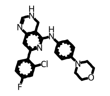 Fc1ccc(-c2cc3c(c(Nc4ccc(N5CCOCC5)cc4)n2)CNC=N3)c(Cl)c1